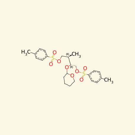 Cc1ccc(S(=O)(=O)OC[C@@H](C)[C@H](COS(=O)(=O)c2ccc(C)cc2)OC2CCCCO2)cc1